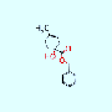 CC1=CCC(O)(C(=O)OCc2ccccc2)CC1